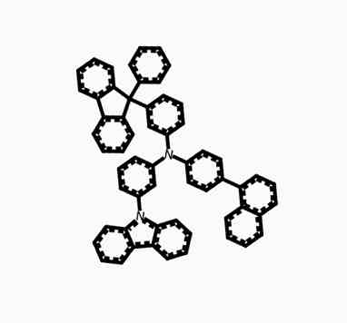 c1ccc(C2(c3cccc(N(c4ccc(-c5cccc6ccccc56)cc4)c4cccc(-n5c6ccccc6c6ccccc65)c4)c3)c3ccccc3-c3ccccc32)cc1